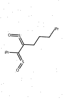 CC(C)CCCC(=S=O)C(=S=O)C(C)C